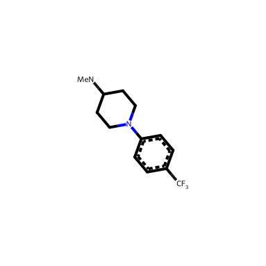 CNC1CCN(c2ccc(C(F)(F)F)cc2)CC1